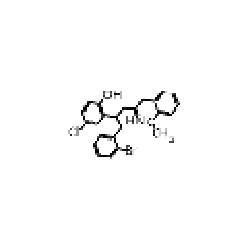 COc1ccccc1CC(=N)CC(Cc1ccccc1Br)c1cc(Cl)ccc1O